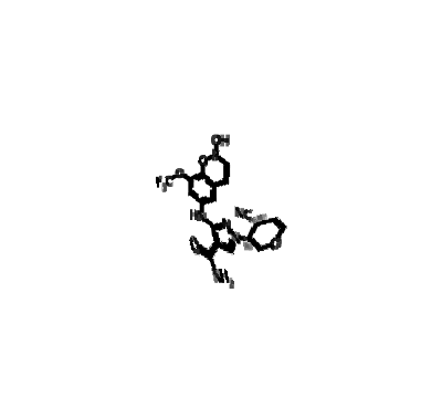 N#C[C@@H]1CCOC[C@H]1n1cc(C(N)=O)c(Nc2cc3c(c(OC(F)(F)F)c2)OB(O)C=C3)n1